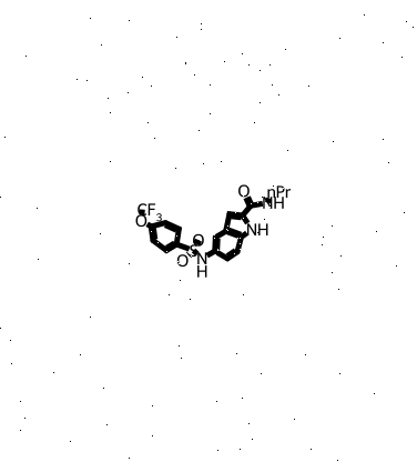 CCCNC(=O)c1cc2cc(NS(=O)(=O)c3ccc(OC(F)(F)F)cc3)ccc2[nH]1